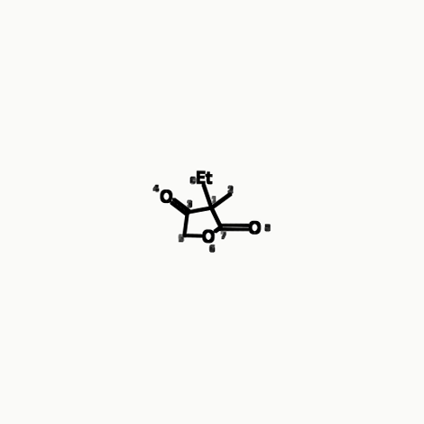 CCC1(C)C(=O)COC1=O